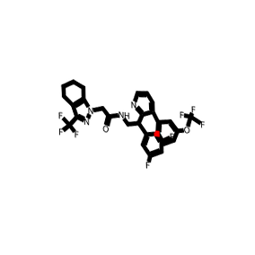 O=C(Cn1nc(C(F)(F)F)c2c1CCCC2)NCC(c1cc(F)cc(F)c1)c1ncccc1-c1cccc(OC(F)(F)F)c1